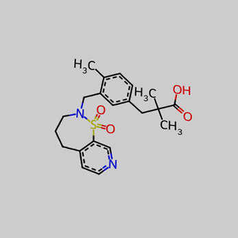 Cc1ccc(CC(C)(C)C(=O)O)cc1CN1CCCc2ccncc2S1(=O)=O